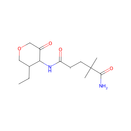 CCC1COCC(=O)C1NC(=O)[CH]CC(C)(C)C(N)=O